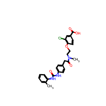 Cc1ccccc1NC(=O)Nc1ccc(CC(=O)N(C)CCOc2ccc(C(=O)O)cc2Cl)cc1